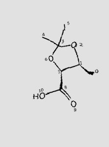 C[C@@H]1OC(C)(I)O[C@@H]1C(=O)O